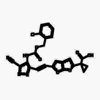 N#Cc1nsc(C#Cc2cc3cc(C4(C(=O)O)CC4)oc3o2)c1NC(=O)OCc1ccccc1Cl